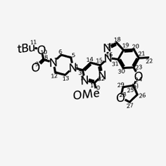 COc1nc(N2CCN(C(=O)OC(C)(C)C)CC2)cc(-n2ncc3cc(C)c(O[C@H]4CCOC4)cc32)n1